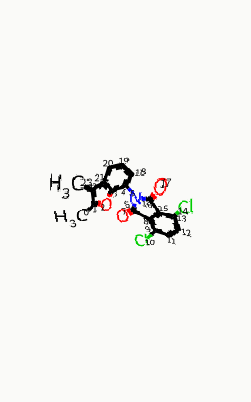 Cc1oc2c(N3C(=O)c4c(Cl)ccc(Cl)c4C3=O)cccc2c1C